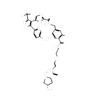 Nc1ccc(-c2[nH]nc(C(F)(F)F)c2-c2cnc(C(=O)NCc3ccc(C(=O)NCCOCCNC(=O)[C@@H]4C[C@@H](O)CN4)c(Cl)c3)[nH]2)nc1